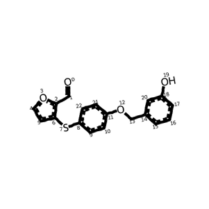 O=Cc1occc1Sc1ccc(OCc2cccc(O)c2)cc1